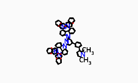 Cc1ccc(-c2cccc(-c3cc(-n4c5cccc(N(c6ccccc6)c6ccccc6)c5c5c(N(c6ccccc6)c6ccccc6)cccc54)nc(-n4c5cccc(N(c6ccccc6)c6ccccc6)c5c5c(N(c6ccccc6)c6ccccc6)cccc54)c3)c2)c(C)n1